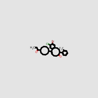 C=CC(=O)C1CCCCC(/C2=C/CCC(=O)C(c3ccccc3C(F)(F)F)CCc3cc(Br)c(Cl)cc32)CCCC1